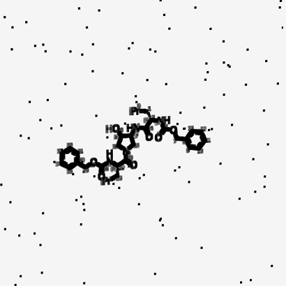 CC(C)C[C@H](NC(=O)OCc1ccccc1)C(=O)NC1CN(C(=O)[C@@H](CC(C)C)NC(=O)OCc2ccccc2)CC1O